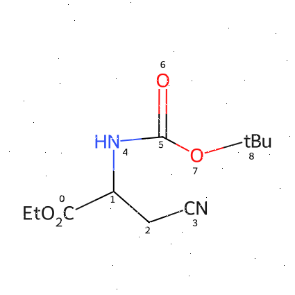 CCOC(=O)C(CC#N)NC(=O)OC(C)(C)C